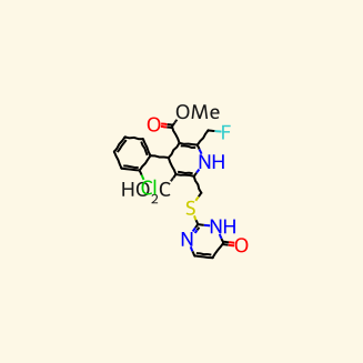 COC(=O)C1=C(CF)NC(CSc2nccc(=O)[nH]2)=C(C(=O)O)C1c1ccccc1Cl